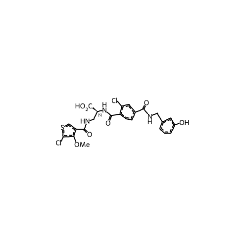 COc1c(C(=O)NC[C@H](NC(=O)c2ccc(C(=O)NCc3cccc(O)c3)cc2Cl)C(=O)O)csc1Cl